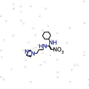 O=[N+]([O-])/C=C(/NCCCn1ccnc1)NC1CCCCC1